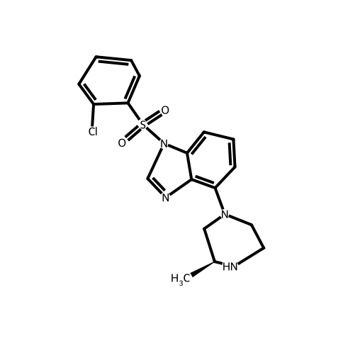 C[C@H]1CN(c2cccc3c2ncn3S(=O)(=O)c2ccccc2Cl)CCN1